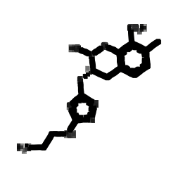 Cc1ccc2c(c1C(=O)O)OB(O)[C@@H](Sc1nnc(NCCN)s1)C2